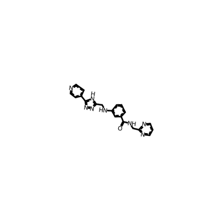 O=C(NCc1ncccn1)c1cccc(NCc2nnc(-c3ccncc3)[nH]2)c1